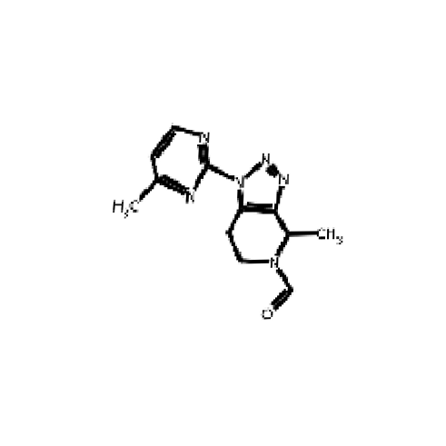 Cc1ccnc(-n2nnc3c2CCN(C=O)C3C)n1